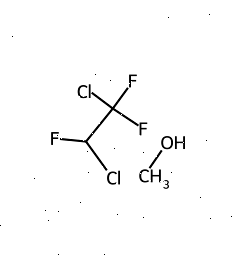 CO.FC(Cl)C(F)(F)Cl